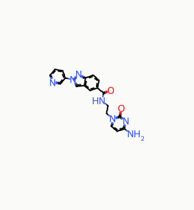 Nc1ccn(CCNC(=O)c2ccc3nn(-c4cccnc4)cc3c2)c(=O)n1